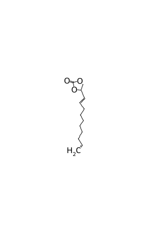 C=CCCCCCC/C=C/C1COC(=O)O1